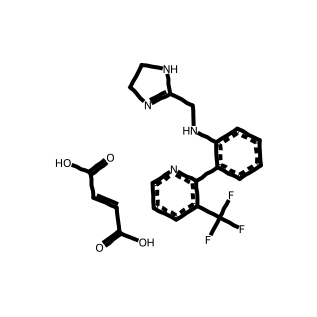 FC(F)(F)c1cccnc1-c1ccccc1NCC1=NCCN1.O=C(O)C=CC(=O)O